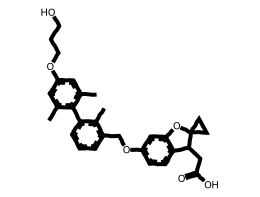 Cc1cc(OCCCO)cc(C)c1-c1cccc(COc2ccc3c(c2)OC2(CC2)C3CC(=O)O)c1C